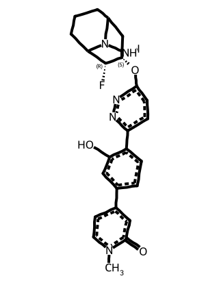 Cn1ccc(-c2ccc(-c3ccc(O[C@H]4CC5CCCC([C@H]4F)N5NI)nn3)c(O)c2)cc1=O